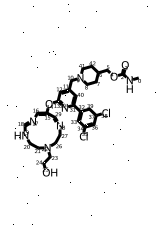 CNC(=O)OCC1CCN(Cc2cc(OC3=C/N=C/NCCN(CCO)CC/N=C\3)nc(C3=CC(Cl)=CC(Cl)C3)c2)CC1